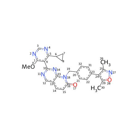 COc1ncnc(C2CC2)c1-c1ncc2ccc(=O)n(Cc3ccc(-c4c(C)noc4C)cc3)c2n1